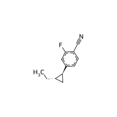 CC[C@H]1C[C@@H]1c1ccc(C#N)c(F)c1